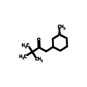 CN1CCCC(CC(=O)C(C)(C)C)C1